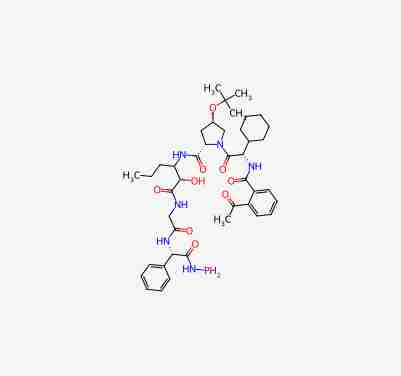 CCCC(NC(=O)[C@@H]1C[C@@H](OC(C)(C)C)CN1C(=O)[C@@H](NC(=O)c1ccccc1C(C)=O)C1CCCCC1)C(O)C(=O)NCC(=O)N[C@H](C(=O)NP)c1ccccc1